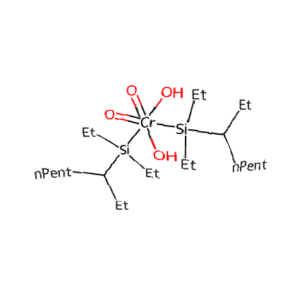 CCCCCC(CC)[Si](CC)(CC)[Cr](=[O])(=[O])([OH])([OH])[Si](CC)(CC)C(CC)CCCCC